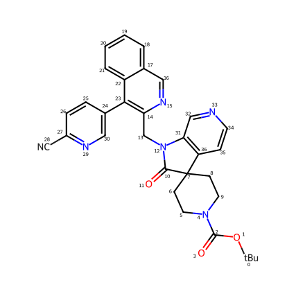 CC(C)(C)OC(=O)N1CCC2(CC1)C(=O)N(Cc1ncc3ccccc3c1-c1ccc(C#N)nc1)c1cnccc12